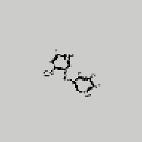 Clc1ccncc1Oc1ccccc1